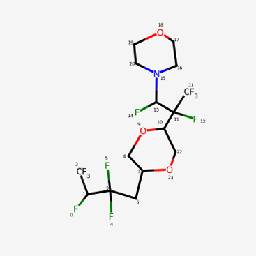 FC(C(F)(F)F)C(F)(F)CC1COC(C(F)(C(F)N2CCOCC2)C(F)(F)F)CO1